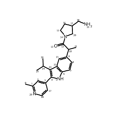 Cc1cc(-c2[nH]c3ccc(C(C)C(=O)N4CCC(CN)C4)cc3c2C(C)C)ccn1